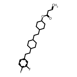 C=CCC(=O)OC1CCC(CCC2CCC(CCc3ccc(F)c(F)c3)CC2)CC1